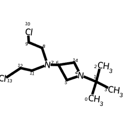 CC(C)(C)N1CC(N(CCCl)CCCl)C1